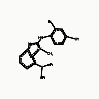 CCCN(CCC)c1cccc2nc(Nc3ccc(C(C)C)cc3Br)n(C)c12